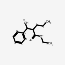 CCCC(C(=O)OCC)C(O)c1ccccc1